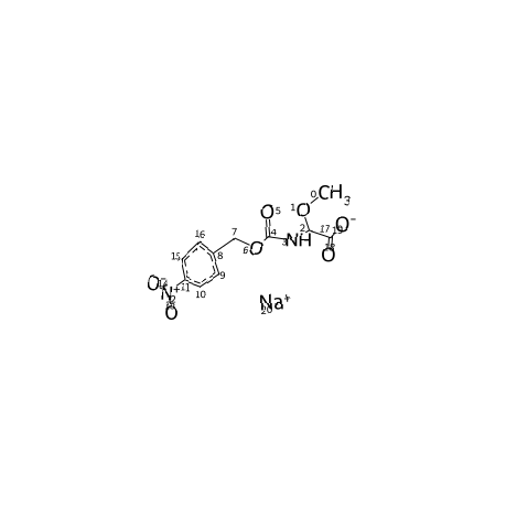 COC(NC(=O)OCc1ccc([N+](=O)[O-])cc1)C(=O)[O-].[Na+]